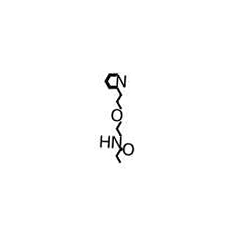 CCC(=O)NCCCOCCCc1ccccn1